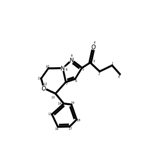 CCCC(=O)c1cc2n(n1)CCOC2c1ccccc1